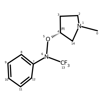 CN1CC[C@@H](ON(c2ccccc2)C(F)(F)F)C1